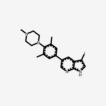 Cc1cc(-c2cnc3[nH]cc(I)c3c2)cc(C)c1N1CCN(C)CC1